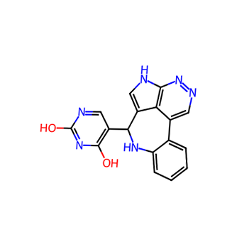 Oc1ncc(C2Nc3ccccc3-c3cnnc4[nH]cc2c34)c(O)n1